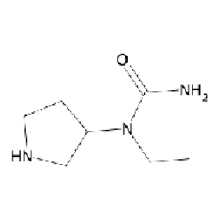 CCN(C(N)=O)C1CCNC1